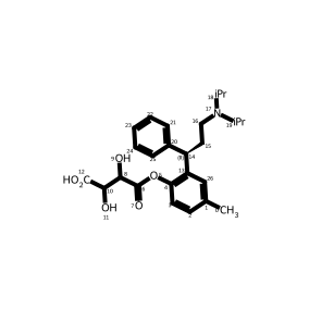 Cc1ccc(OC(=O)C(O)C(O)C(=O)O)c([C@H](CCN(C(C)C)C(C)C)c2ccccc2)c1